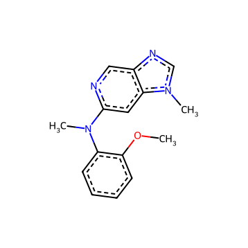 COc1ccccc1N(C)c1cc2c(cn1)ncn2C